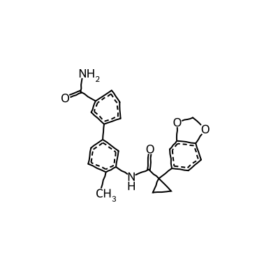 Cc1ccc(-c2cccc(C(N)=O)c2)cc1NC(=O)C1(c2ccc3c(c2)OCO3)CC1